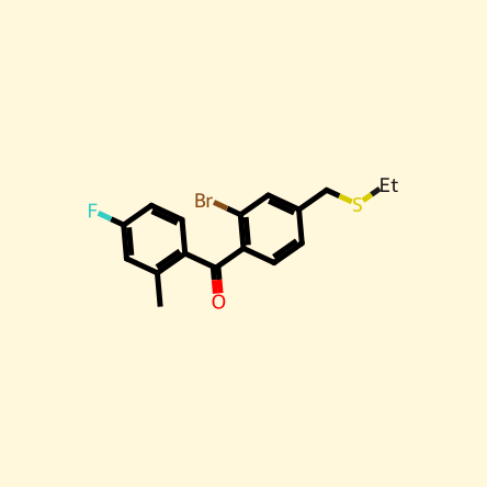 CCSCc1ccc(C(=O)c2ccc(F)cc2C)c(Br)c1